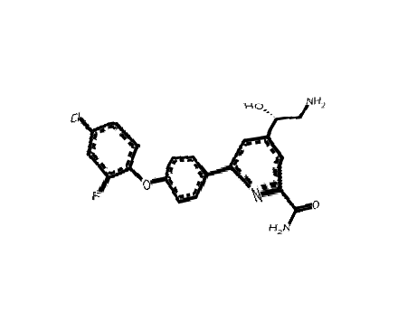 NC[C@@H](O)c1cc(C(N)=O)nc(-c2ccc(Oc3ccc(Cl)cc3F)cc2)c1